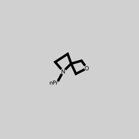 CCCN1CCC12COC2